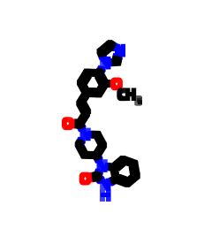 COc1cc(/C=C/C(=O)N2CCC(n3c(=O)[nH]c4ccccc43)CC2)ccc1-n1ccnc1